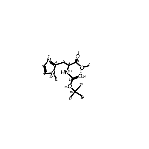 COC(=O)C(Cc1nccn1C)NC(=O)OC(C)(C)C